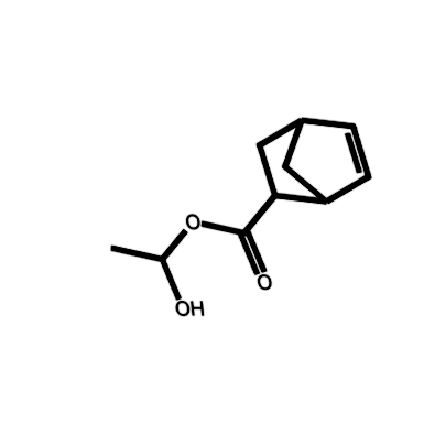 CC(O)OC(=O)C1CC2C=CC1C2